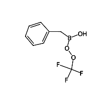 OB(Cc1ccccc1)OOC(F)(F)F